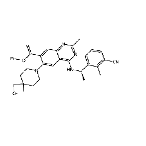 C=C(OCC)c1cc2nc(C)nc(N[C@H](C)c3cccc(C#N)c3C)c2cc1N1CCC2(CC1)COC2